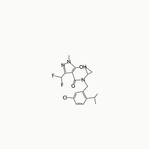 CC(C)c1ccc(Cl)cc1CN(C(=O)c1c(C(F)F)nn(C)c1O)C1CC1